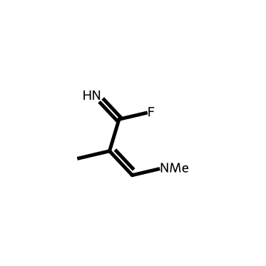 CN/C=C(/C)C(=N)F